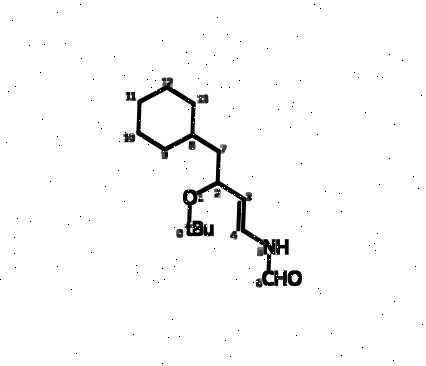 CC(C)(C)OC(C=CNC=O)CC1CCCCC1